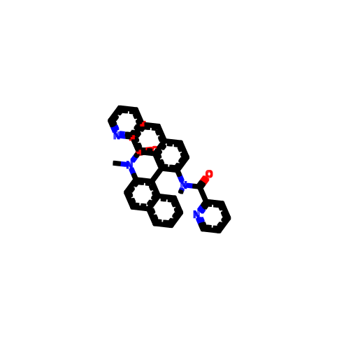 CN(C(=O)c1ccccn1)c1ccc2ccccc2c1-c1c(N(C)C(=O)c2ccccn2)ccc2ccccc12